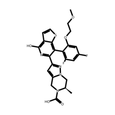 COCCOc1cc(F)cc(F)c1-c1c(-c2cc3n(n2)C[C@@H](C)N(C(=O)O)C3)nc(O)c2ccsc12